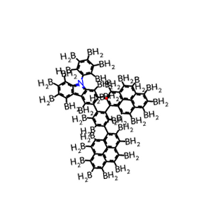 Bc1c(B)c(B)c(-n2c3c(B)c(B)c(B)c(B)c3c3c(B)c(-c4c(B)c(B)c(-c5c(B)c(B)c6c(B)c(B)c7c(B)c(B)c(B)c8c(B)c(B)c5c6c78)c(B)c4-c4c(B)c(B)c5c(B)c(B)c6c(B)c(B)c(B)c7c(B)c(B)c4c5c67)c(B)c(B)c32)c(B)c1B